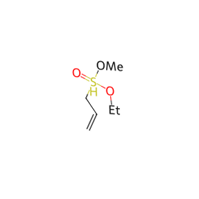 C=CC[SH](=O)(OC)OCC